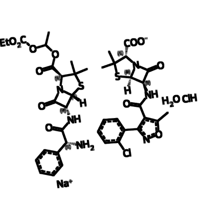 CCOC(=O)OC(C)OC(=O)[C@@H]1N2C(=O)[C@@H](NC(=O)[C@H](N)c3ccccc3)[C@H]2SC1(C)C.Cc1onc(-c2ccccc2Cl)c1C(=O)N[C@@H]1C(=O)N2[C@@H]1SC(C)(C)[C@@H]2C(=O)[O-].Cl.O.[Na+]